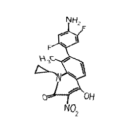 Cc1c(-c2cc(F)c(N)cc2F)ccc2c(O)c([N+](=O)[O-])c(=O)n(C3CC3)c12